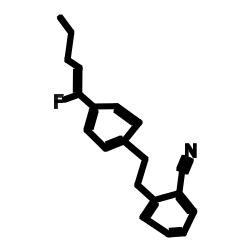 CCCC=C(F)c1ccc(CCc2ccccc2C#N)cc1